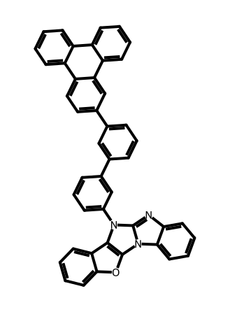 c1cc(-c2cccc(-n3c4c5ccccc5oc4n4c5ccccc5nc34)c2)cc(-c2ccc3c4ccccc4c4ccccc4c3c2)c1